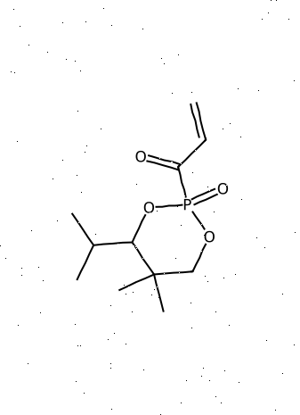 C=CC(=O)P1(=O)OCC(C)(C)C(C(C)C)O1